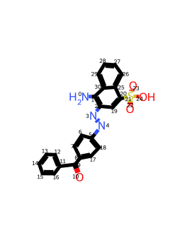 Nc1c(N=Nc2ccc(C(=O)c3ccccc3)cc2)cc(S(=O)(=O)O)c2ccccc12